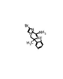 CC1(c2c[c]ccc2F)Cn2cc(Br)nc2C(N)=N1